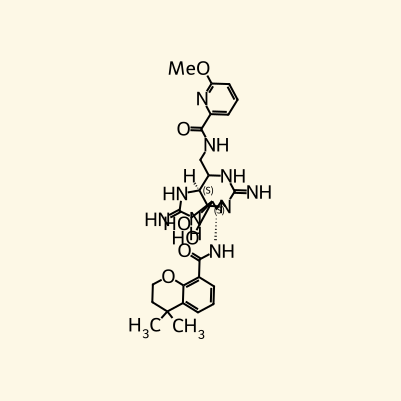 COc1cccc(C(=O)NCC2NC(=N)N3C[C@H](NC(=O)c4cccc5c4OCCC5(C)C)C(O)(O)C34NC(=N)N[C@@H]24)n1